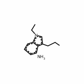 CCCc1cn(CC)c2ccccc12.N